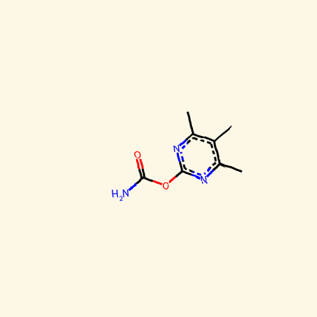 Cc1nc(OC(N)=O)nc(C)c1C